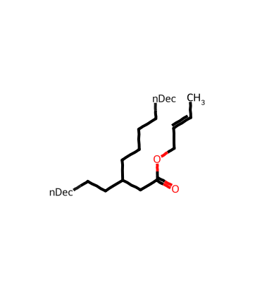 CC=CCOC(=O)CC(CCCCCCCCCCCC)CCCCCCCCCCCCCC